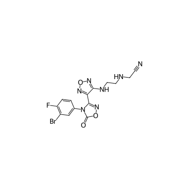 N#CCNCCNc1nonc1-c1noc(=O)n1-c1ccc(F)c(Br)c1